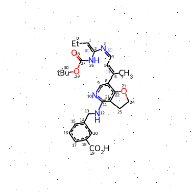 CC/C=C(/N=C\C=C(/C)c1cnc(NCc2cccc(C(=O)O)c2)c2c1OCC2)NC(=O)OC(C)(C)C